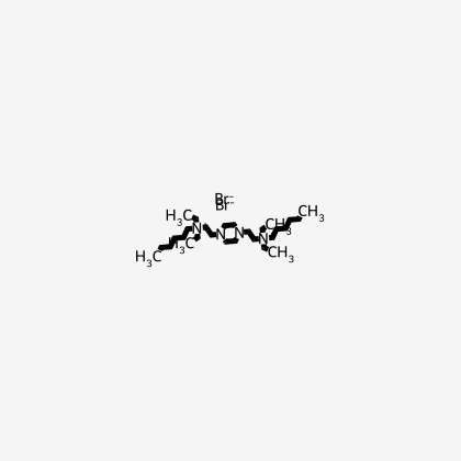 CCCCCC[N+](CC)(CC)CCN1CCN(CC[N+](CC)(CC)CCCCCC)CC1.[Br-].[Br-]